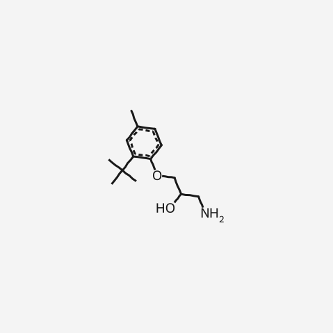 Cc1ccc(OCC(O)CN)c(C(C)(C)C)c1